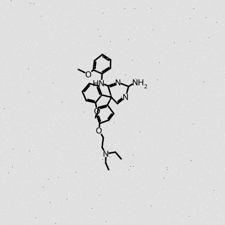 CCN(CC)CCOc1ccc(C2(c3ccccc3OC)C=NC(N)N=C2Nc2ccccc2OC)cc1